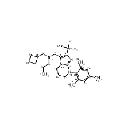 CCCN(Cc1c(C(F)(F)F)nc2n1CCCN2c1c(C)cc(C)cc1C)CC1CCC1